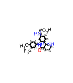 Cc1ccc(NC(=O)C2CCCNC2c2ccc(NC(=O)O)cc2)cc1C(F)(F)F